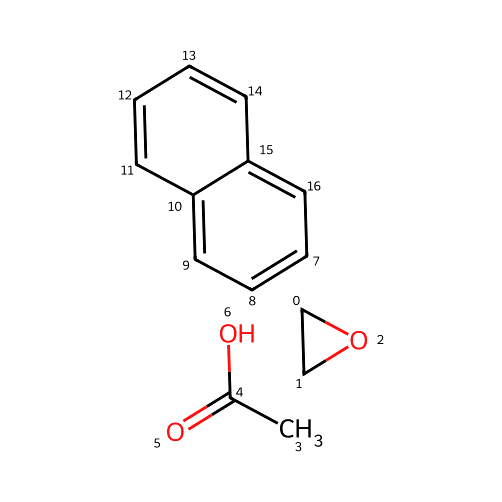 C1CO1.CC(=O)O.c1ccc2ccccc2c1